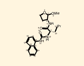 COC1OCC[C@@H]1NC(=O)[C@H](CC(C)C)NC(=O)Nc1cccc2ccccc12